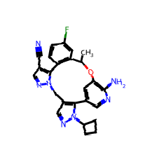 CC1Oc2cc(cnc2N)-c2c(cnn2C2CCC2)Cn2ncc(C#N)c2-c2ccc(F)cc21